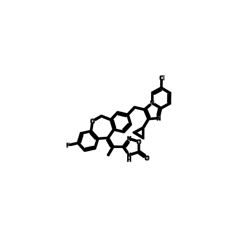 CC(=C1c2ccc(Cc3c(C4CC4)nc4ccc(Cl)cn34)cc2COc2cc(F)ccc21)c1noc(=O)[nH]1